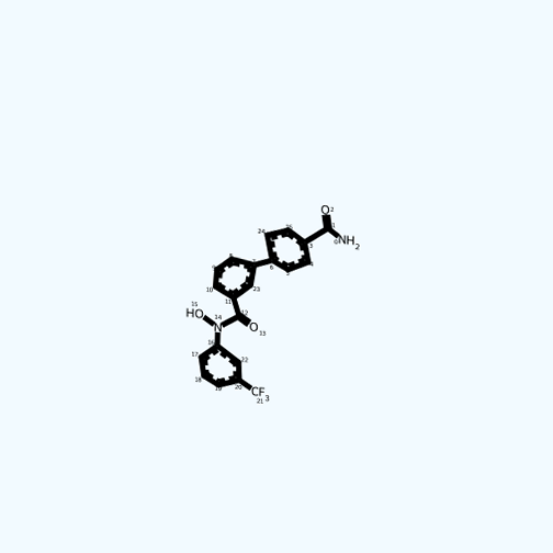 NC(=O)c1ccc(-c2cccc(C(=O)N(O)c3cccc(C(F)(F)F)c3)c2)cc1